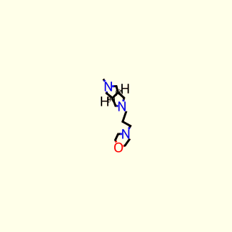 CN1C[C@@H]2CN(CCCN3CCOCC3)C[C@@H]2C1